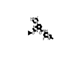 Cc1cn2cc(NC(=O)c3ccc(N4C[C@@H](C)N[C@@H](C)C4)c4ncc(OC5CC5)nc34)cc(F)c2n1